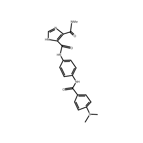 CNC(=O)c1nc[nH]c1C(=O)Nc1ccc(NC(=O)c2ccc(N(C)C)cc2)cc1